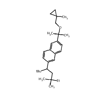 CCC(C)(C)CC(c1ccc2cc(C(C)(C)OCC3(C)CC3)ccc2c1)C(C)(C)C